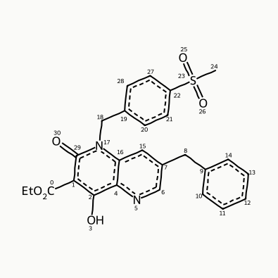 CCOC(=O)c1c(O)c2ncc(Cc3ccccc3)cc2n(Cc2ccc(S(C)(=O)=O)cc2)c1=O